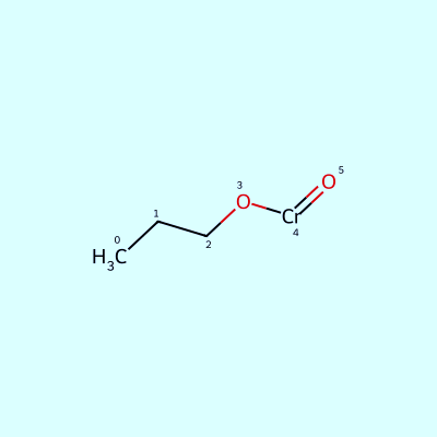 CCC[O][Cr]=[O]